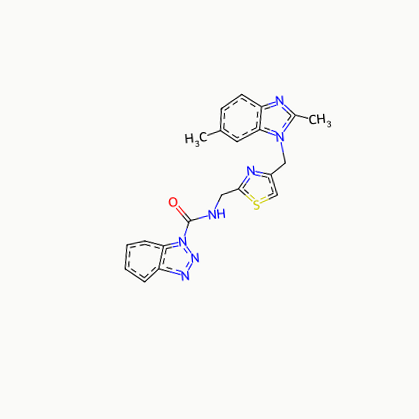 Cc1ccc2nc(C)n(Cc3csc(CNC(=O)n4nnc5ccccc54)n3)c2c1